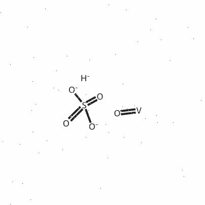 O=S(=O)([O-])[O-].[H-].[O]=[V]